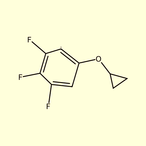 Fc1[c]c(OC2CC2)cc(F)c1F